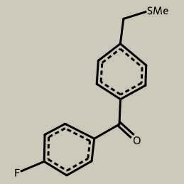 CSCc1ccc(C(=O)c2ccc(F)cc2)cc1